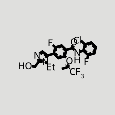 CCn1c(-c2cc(O[C@@H](C)C(F)(F)F)c(C(=O)Nc3c(F)cccc3Cl)cc2F)cnc1CO